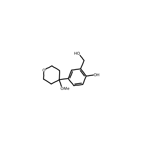 COC1(c2ccc(O)c(CO)c2)CCOCC1